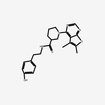 Cc1oc2ncnc(N3CCCC(C(=O)NCCc4ccc(O)cc4)C3)c2c1C